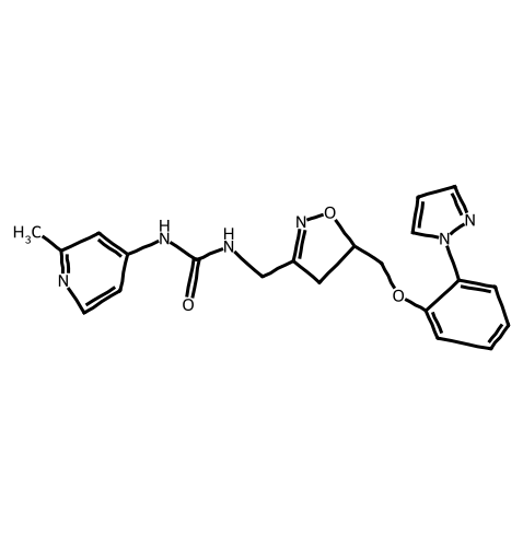 Cc1cc(NC(=O)NCC2=NOC(COc3ccccc3-n3cccn3)C2)ccn1